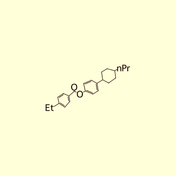 CCCC1CCC(c2ccc(OC(=O)c3ccc(CC)cc3)cc2)CC1